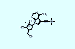 C[C@@]1(O)C(O)C(CO)OC1n1cc(C#C[Si](C)(C)C)c2c(N)ncnc21